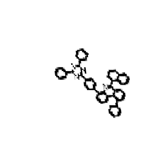 c1ccc(-c2nc(-c3ccccc3)nc(-c3ccc(-c4cccc5c4nc(-c4cccc6ccccc46)c4cccc(-c6ccccc6)c45)cc3)n2)cc1